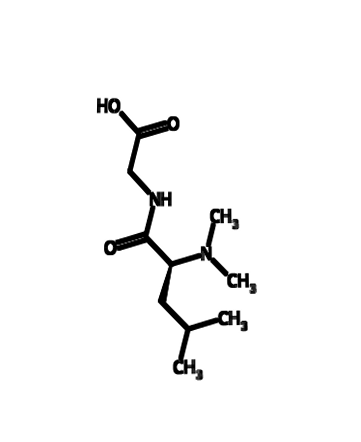 CC(C)C[C@@H](C(=O)NCC(=O)O)N(C)C